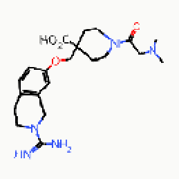 CN(C)CC(=O)N1CCC(COc2ccc3c(c2)CN(C(=N)N)CC3)(C(=O)O)CC1